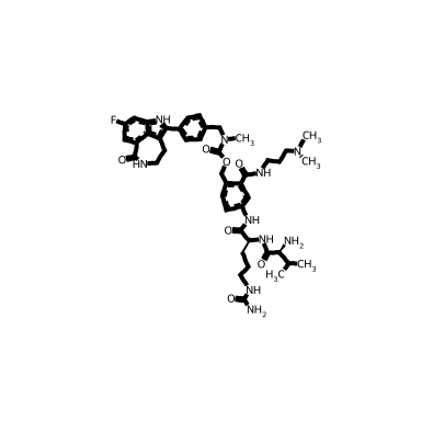 CC(C)[C@H](N)C(=O)N[C@@H](CCCNC(N)=O)C(=O)Nc1ccc(COC(=O)N(C)Cc2ccc(-c3[nH]c4cc(F)cc5c4c3CCNC5=O)cc2)c(C(=O)NCCCN(C)C)c1